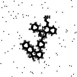 C/C(=C\C=N)c1ccccc1C(/C=C/c1ccc(-c2cccc3c2-c2cc4ccccc4cc2C3(C)C)cc1)NC(=N)c1ccccc1